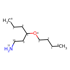 CCCCOC(CCC)CCN